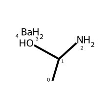 CC(N)O.[BaH2]